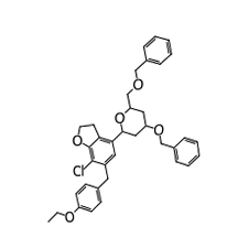 CCOc1ccc(Cc2cc(C3CC(OCc4ccccc4)CC(COCc4ccccc4)O3)c3c(c2Cl)OCC3)cc1